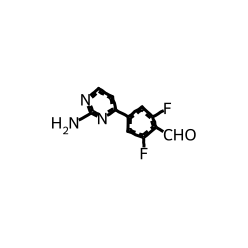 Nc1nccc(-c2cc(F)c(C=O)c(F)c2)n1